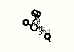 Cc1ccc(NC(=O)NC2CCCC(c3ccccc3)N(CC(=O)C34CC5CC(CC(C5)C3)C4)C2=O)cc1